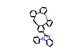 C1=C\c2ccc(-c3nc4ccccc4n3-c3ccccc3)cc2-c2ccccc2Sc2ccccc2-c2ccccc2/1